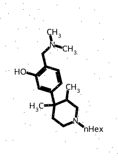 CCCCCCN1CCC(C)(c2ccc(CN(C)C)c(O)c2)C(C)C1